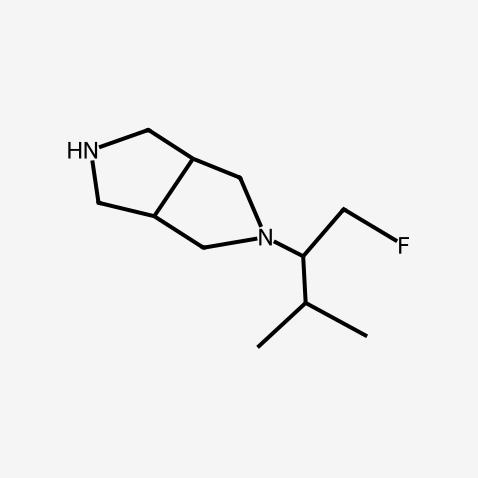 CC(C)C(CF)N1CC2CNCC2C1